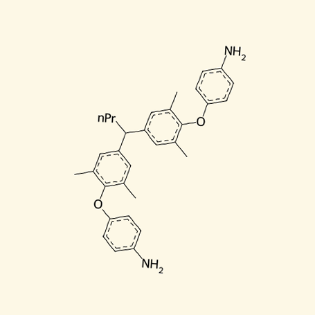 CCCC(c1cc(C)c(Oc2ccc(N)cc2)c(C)c1)c1cc(C)c(Oc2ccc(N)cc2)c(C)c1